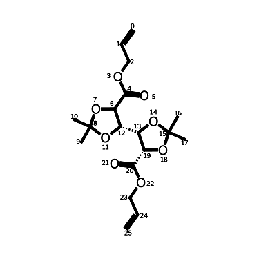 C=CCOC(=O)C1OC(C)(C)O[C@H]1C1OC(C)(C)O[C@@H]1C(=O)OCC=C